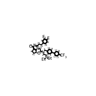 CCN(CC)CCN(Cc1ccc(-c2ccc(C(F)(F)F)cc2)cc1)C(=O)Cn1c(CCc2ccc(F)c(F)c2)nc(=O)c2c1CCC2